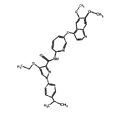 CCOc1cn(-c2ccc(C(C)C)cc2)nc1C(=O)NC1C=CC=C(Oc2ccnc3cc(OC)c(OC)cc23)C=N1